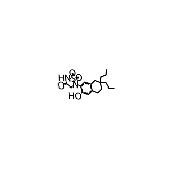 CCCC1(CCC)CCc2cc(O)c(N3CC(=O)NS3(=O)=O)cc2C1